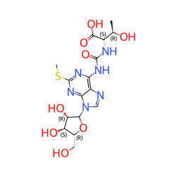 CSc1nc(NC(=O)N[C@H](C(=O)O)[C@@H](C)O)c2ncn(C3O[C@H](CO)[C@@H](O)[C@H]3O)c2n1